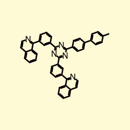 Cc1ccc(-c2ccc(-c3nc(-c4cccc(-c5nccc6ccccc56)c4)nc(-c4cccc(-c5nccc6ccccc56)c4)n3)cc2)cc1